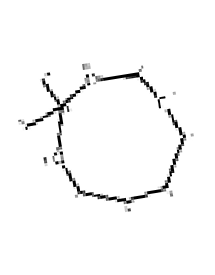 CC1(C)OCCCCCCO1